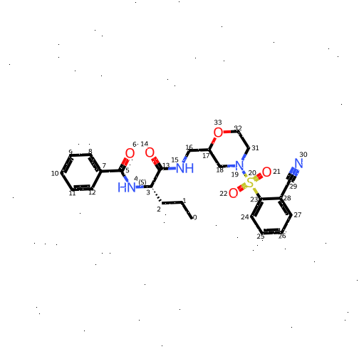 CCC[C@H](NC(=O)c1ccccc1)C(=O)NCC1CN(S(=O)(=O)c2ccccc2C#N)CCO1